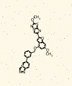 COc1cc(OCc2cccc(-c3ccc4nncn4c3)c2)c2cc(-c3cn4nc(OC)sc4n3)oc2c1